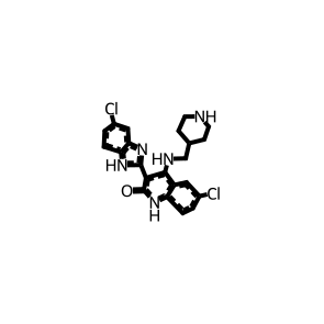 O=c1[nH]c2ccc(Cl)cc2c(NCC2CCNCC2)c1-c1nc2cc(Cl)ccc2[nH]1